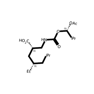 CC[C@@H](CC(C)C)C[C@@H](CNC(=O)O[C@H](OC(C)=O)C(C)C)C(=O)O